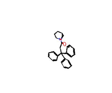 O=C(CC(c1ccccc1)(c1ccccc1)c1ccccc1)N1CC2CCC1CC2